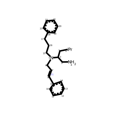 CC(C)CC(CN)N(C/C=C/c1ccccc1)CCCc1ccccc1